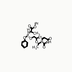 CCC(COP(NC(C)C(=O)OC(C)C)Oc1ccccc1)OC(C)n1ccc(=O)[nH]c1=O